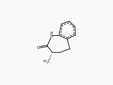 C[C@H]1CCc2ccccc2NC1=O